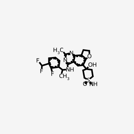 Cc1nc(NC(C)c2cccc(C(F)F)c2F)c2cc(C3(O)CCS(=N)(=O)CC3)c3c(c2n1)CCO3